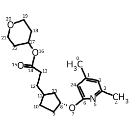 Cc1cc(C)nc(O[C@@H]2CCC(CCC(=O)OC3CCOCC3)C2)c1